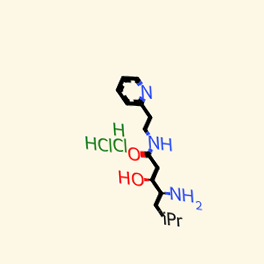 CC(C)C[C@H](N)[C@@H](O)CC(=O)NCCc1ccccn1.Cl.Cl